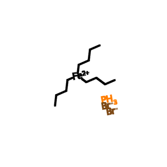 CCC[CH2][Fe+2]([CH2]CCC)[CH2]CCC.P.[Br-].[Br-]